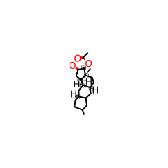 CC(=O)O[C@@H]1C(=O)C[C@@H]2[C@H]3C[C@H]4CCC(C)CC4C[C@@H]3CC[C@@]12C